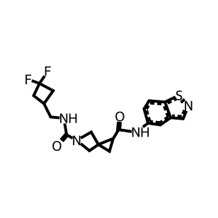 O=C(Nc1ccc2sncc2c1)C1CC12CN(C(=O)NCC1CC(F)(F)C1)C2